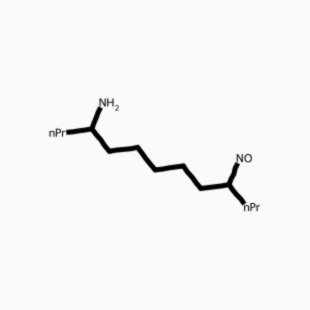 CCCC(N)CCCCCC(CCC)N=O